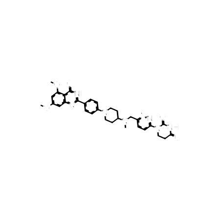 COc1cc(OC)c2c(=O)[nH]c(-c3ccc(N4CCC(N(C)Cc5ccc(N6CCC(=O)NC6=O)nn5)CC4)cc3)nc2c1